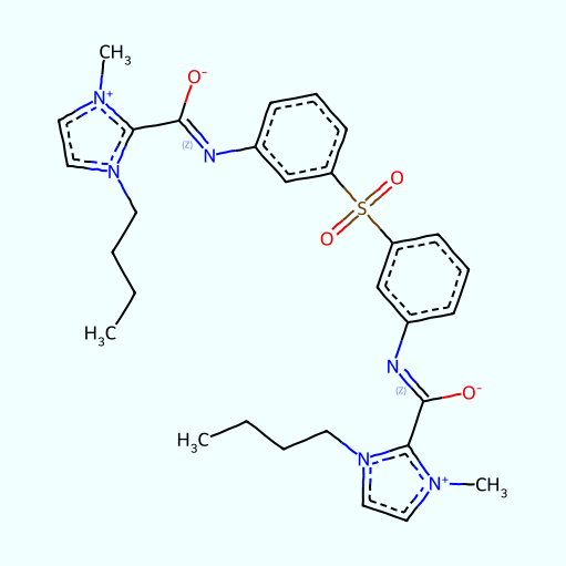 CCCCn1cc[n+](C)c1/C([O-])=N/c1cccc(S(=O)(=O)c2cccc(/N=C(\[O-])c3n(CCCC)cc[n+]3C)c2)c1